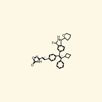 O=c1[nH]c(/C=C/c2ccc(/C(=C(\c3ccccc3)C3CCC3)c3ccc4c(c3)C(F)NN4C3CCCCO3)cc2)no1